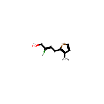 Cc1ccsc1CC=C(F)CO